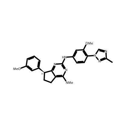 CNc1nc(Nc2ccc(-n3cnc(C)n3)c(OC)c2)nc2c1CC[C@H]2c1cccc(OC)c1